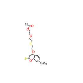 CCC(=O)OCCOCCSCCOc1cc(=S)oc2cc(OC)ccc12